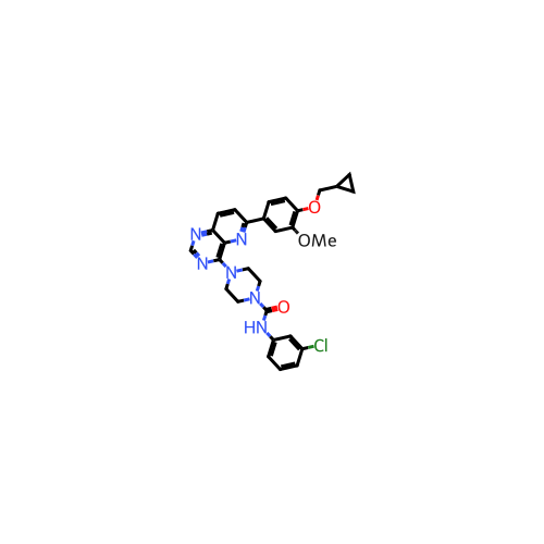 COc1cc(-c2ccc3ncnc(N4CCN(C(=O)Nc5cccc(Cl)c5)CC4)c3n2)ccc1OCC1CC1